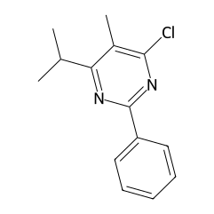 Cc1c(Cl)nc(-c2ccccc2)nc1C(C)C